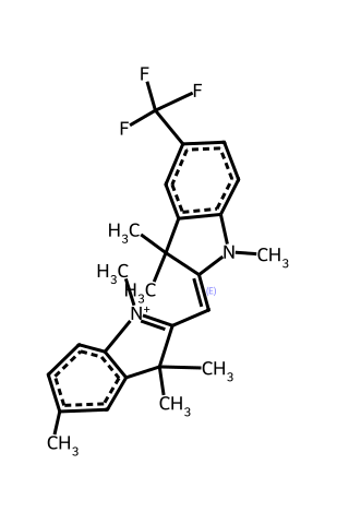 Cc1ccc2c(c1)C(C)(C)C(/C=C1/N(C)c3ccc(C(F)(F)F)cc3C1(C)C)=[N+]2C